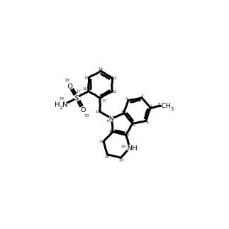 Cc1ccc2c(c1)c1c(n2Cc2ccccc2S(N)(=O)=O)CCCN1